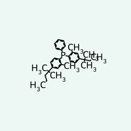 CCCC(C)(C)c1ccc(P(c2ccccc2)c2ccc(C(C)(C)CC)cc2C)c(C)c1